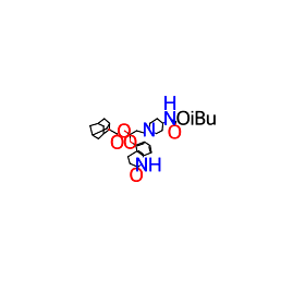 CC(C)COC(=O)NC1CCN(CCC(OC(=O)C2C3CC4CC(C3)CC2C4)Oc2cccc3c2CCC(=O)N3)CC1